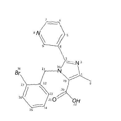 Cc1nc(-c2cccnc2)n(Cc2ccccc2Br)c1C(=O)O